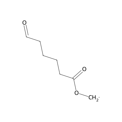 [CH2]OC(=O)CCCCC=O